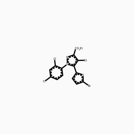 CCOC(=O)c1nn(-c2ccc(Cl)cc2Cl)c(-c2ccc(Br)s2)c1CC